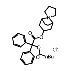 CCCCC(=O)OC(C(=O)OC1CC2CCC(C1)[N+]21CCCC1)(c1ccccc1)c1ccccc1.[Cl-]